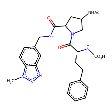 CC(=O)NC1CC(C(=O)NCc2ccc3c(c2)nnn3C)N(C(=O)[C@@H](CCc2ccccc2)NC(=O)O)C1